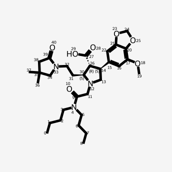 CCCCN(CCCC)C(=O)CN1C[C@H](c2cc(OC)c3c(c2)OCO3)[C@@H](C(=O)O)[C@@H]1CCN1CC(C)(C)CC1=O